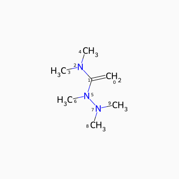 C=C(N(C)C)N(C)N(C)C